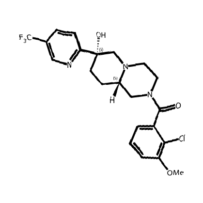 COc1cccc(C(=O)N2CCN3C[C@](O)(c4ccc(C(F)(F)F)cn4)CC[C@H]3C2)c1Cl